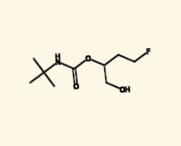 CC(C)(C)NC(=O)OC(CO)CCF